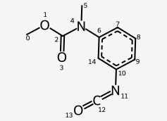 COC(=O)N(C)c1cccc(N=C=O)c1